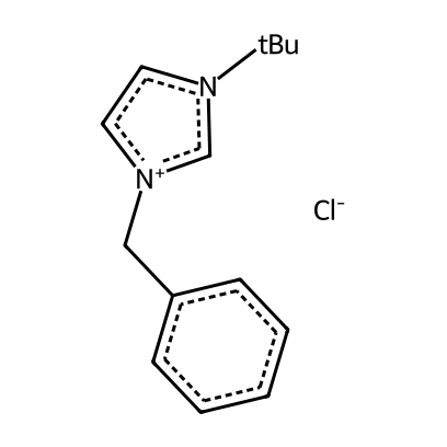 CC(C)(C)n1cc[n+](Cc2ccccc2)c1.[Cl-]